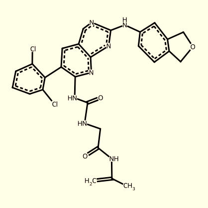 C=C(C)NC(=O)CNC(=O)Nc1nc2nc(Nc3ccc4c(c3)COC4)ncc2cc1-c1c(Cl)cccc1Cl